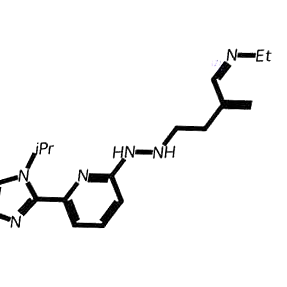 C=C(/C=N\CC)CCNNc1cccc(-c2nncn2C(C)C)n1